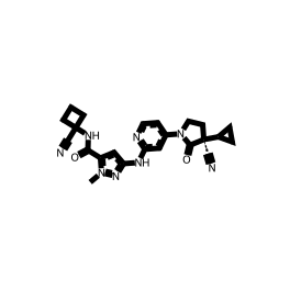 Cn1nc(Nc2cc(N3CC[C@@](C#N)(C4CC4)C3=O)ccn2)cc1C(=O)NC1(C#N)CCC1